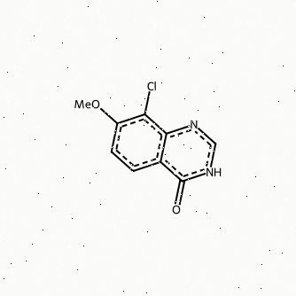 COc1ccc2c(=O)[nH]cnc2c1Cl